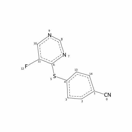 N#Cc1ccc(Sc2n[c]ncc2F)cc1